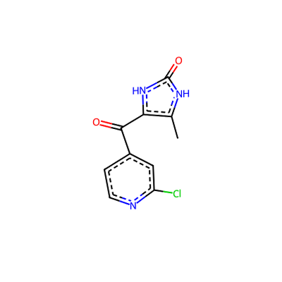 Cc1[nH]c(=O)[nH]c1C(=O)c1ccnc(Cl)c1